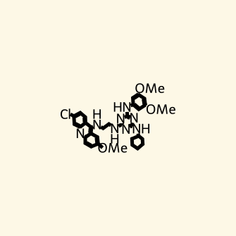 COc1cc(Nc2nc(NCCNc3c4ccc(Cl)cc4nc4ccc(OC)cc34)nc(NC3CCCCC3)n2)cc(OC)c1